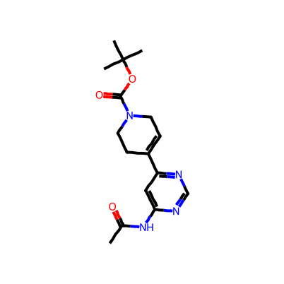 CC(=O)Nc1cc(C2=CCN(C(=O)OC(C)(C)C)CC2)ncn1